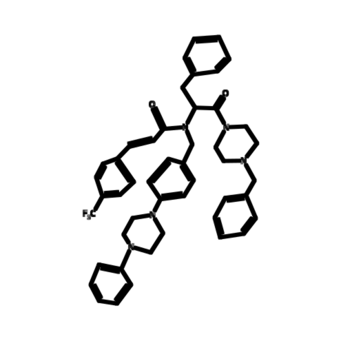 O=C(C(Cc1ccccc1)N(Cc1ccc(N2CCN(c3ccccc3)CC2)cc1)C(=O)C=Cc1ccc(C(F)(F)F)cc1)N1CCN(Cc2ccccc2)CC1